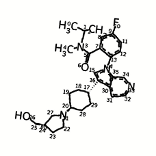 CC(C)N(C)C(=O)c1cc(F)ccc1-n1cc([C@H]2CC[C@H](N3CC[C@@H](CO)C3)CC2)c2ccncc21